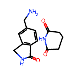 NCc1ccc2c(c1)CNC2=O.O=C1CCCC(=O)N1